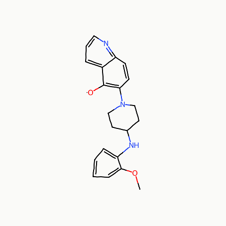 COc1ccccc1NC1CCN(c2ccc3ncccc3c2[O])CC1